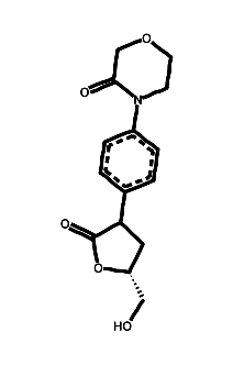 O=C1O[C@@H](CO)CC1c1ccc(N2CCOCC2=O)cc1